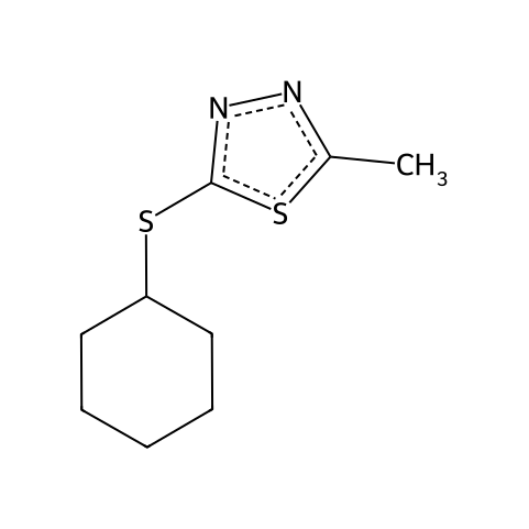 Cc1nnc(SC2CCCCC2)s1